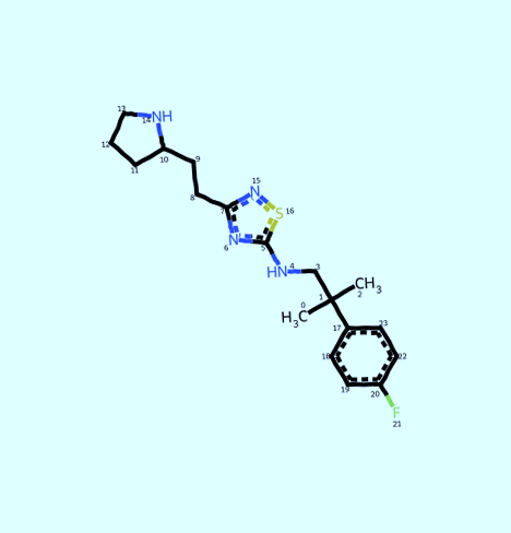 CC(C)(CNc1nc(CCC2CCCN2)ns1)c1ccc(F)cc1